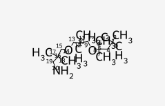 CC(C)(C)CC(C)(C)OCC(C)(C)COCC(C)(C)CN